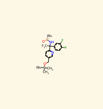 CC(C)(C)[S@@+]([O-])NC(c1ccc(F)c(F)c1)(c1ccc(CO[Si](C)(C)C(C)(C)C)cn1)C(F)(F)F